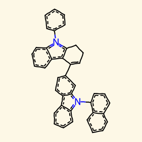 C1=C(c2ccc3c4ccccc4n(-c4cccc5ccccc45)c3c2)c2c(n(-c3ccccc3)c3ccccc23)CC1